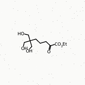 CCOC(=O)C(=O)CCCC(CO)(CO)CO